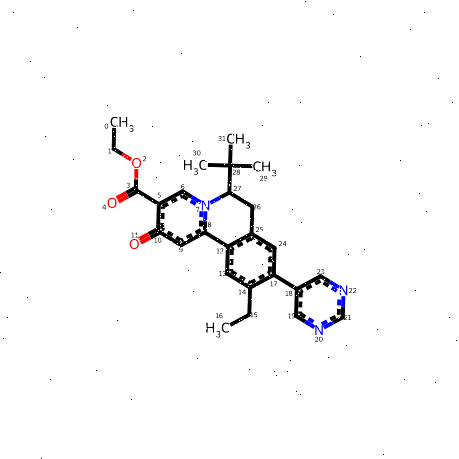 CCOC(=O)c1cn2c(cc1=O)-c1cc(CC)c(-c3cncnc3)cc1CC2C(C)(C)C